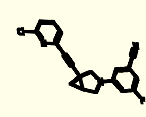 N#Cc1cc(F)cc(N2CC3CC3(C#Cc3cccc(Cl)n3)C2)c1